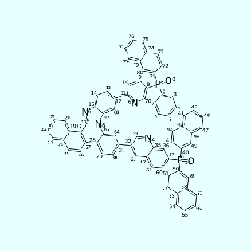 O=P(c1ccccc1)(c1ccc(-c2ccc3nc4c5c6ccccc6ccc5c5ccc(-c6cnc7cc(P(=O)(c8ccc9ccccc9c8)c8ccc9ccccc9c8)ccc7c6)cc5n4c3c2)nc1)c1ccc2ccccc2c1